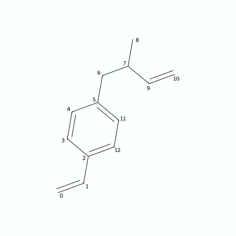 C=Cc1ccc(CC(C)C=C)cc1